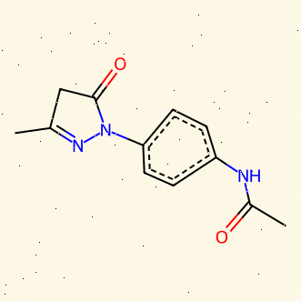 CC(=O)Nc1ccc(N2N=C(C)CC2=O)cc1